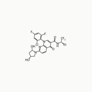 CC[C@@H](NC(=O)c1cn(-c2c(F)cc(F)cc2Cl)c2nc(N3C[C@@H](O)CC3O)ccc2c1=O)C(F)(F)F